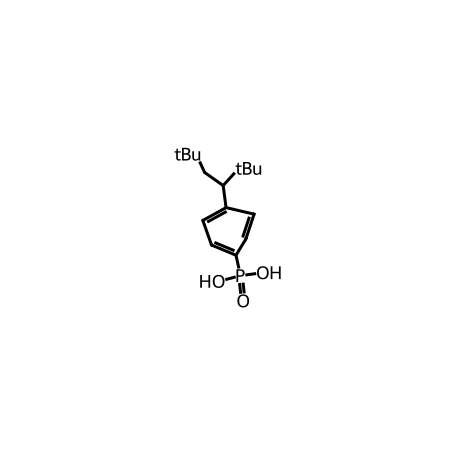 CC(C)(C)CC(c1ccc(P(=O)(O)O)cc1)C(C)(C)C